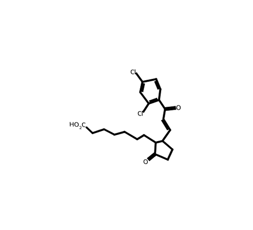 O=C(O)CCCCCCC1C(=O)CCC1/C=C/C(=O)c1ccc(Cl)cc1Cl